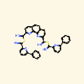 N=C(SC(=N)c1ccc2ccc3ccc(C(=N)SC(=N)c4cccc(-c5ccccc5)n4)nc3c2n1)c1cccc(-c2ccccc2)n1